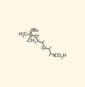 CC(C)(C)[Si](C)(C)OCCOCCC(=O)O